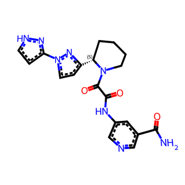 NC(=O)c1cncc(NC(=O)C(=O)N2CCCC[C@H]2c2ccn(-c3cc[nH]n3)n2)c1